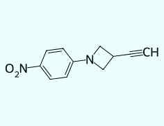 C#CC1CN(c2ccc([N+](=O)[O-])cc2)C1